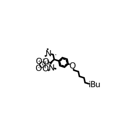 CCC(C)CCCCCOc1ccc(C([CH]N(C)C)[C@H](O[Cl+3]([O-])([O-])[O-])N(C)C)cc1